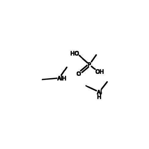 CP(=O)(O)O.[CH3][AlH][CH3].[CH3][AlH][CH3]